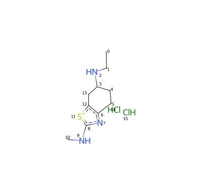 CCNC1CCc2nc(NC)sc2C1.Cl.Cl